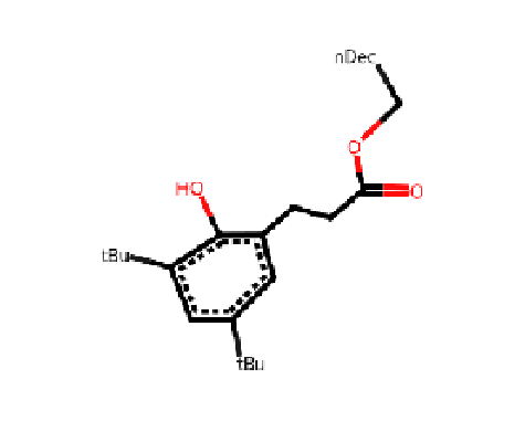 CCCCCCCCCCCOC(=O)CCc1cc(C(C)(C)C)cc(C(C)(C)C)c1O